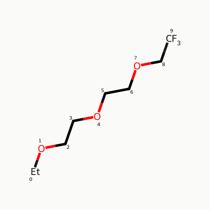 CCOCCOCCOCC(F)(F)F